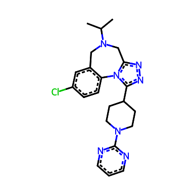 CC(C)N1Cc2cc(Cl)ccc2-n2c(nnc2C2CCN(c3ncccn3)CC2)C1